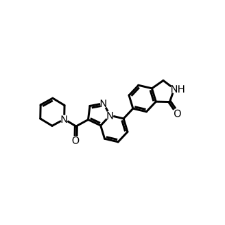 O=C1NCc2ccc(-c3cccc4c(C(=O)N5CC=CCC5)cnn34)cc21